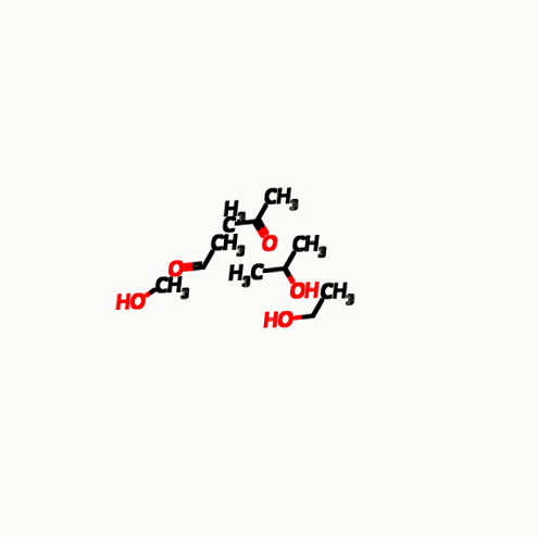 CC(C)=O.CC(C)O.CC=O.CCO.CO